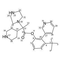 CC(C)(C)c1cccc(OC(=O)C(C)(C2CCNCC2)N2CCNCC2)c1-c1cccnc1